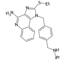 CCSc1nc2c(N)nc3ccccc3c2n1Cc1ccc(CNC(C)C)cc1